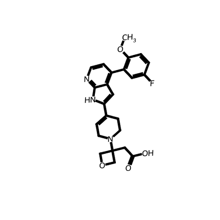 COc1ccc(F)cc1-c1ccnc2[nH]c(C3=CCN(C4(CC(=O)O)COC4)CC3)cc12